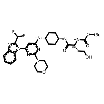 CC(C)(C)OC(=O)N[C@H](CCO)C(=O)N[C@H]1CC[C@H](Nc2cc(-n3c(C(F)F)nc4ccccc43)nc(N3CCOCC3)n2)CC1